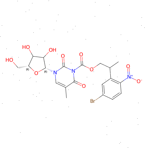 Cc1cn([C@@H]2O[C@H](CO)C(O)C2O)c(=O)n(C(=O)OCC(C)c2cc(Br)ccc2[N+](=O)[O-])c1=O